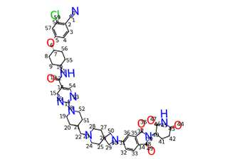 N#Cc1ccc(O[C@H]2CC[C@H](NC(=O)c3cnc(N4CCC(CN5CCC6(CC5)CN(c5ccc7c(c5)C(=O)N(C5CCC(=O)NC5=O)C7=O)C6)CC4)nc3)CC2)cc1Cl